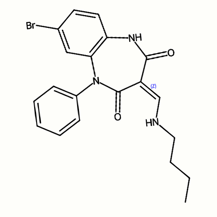 CCCCN/C=C1/C(=O)Nc2ccc(Br)cc2N(c2ccccc2)C1=O